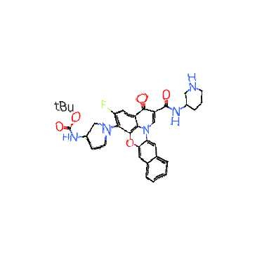 CC(C)(C)OC(=O)NC1CCN(c2c(F)cc3c(=O)c(C(=O)NC4CCCNC4)cn4c3c2Oc2cc3ccccc3cc2-4)C1